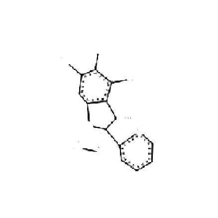 C[C@H]1c2c(cc(F)c(Cl)c2Br)O[C@]1(CO)c1ccccn1